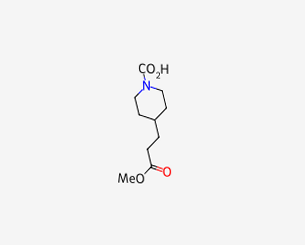 COC(=O)CCC1CCN(C(=O)O)CC1